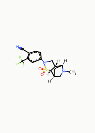 CN1C[C@@H]2CC[C@H]1[C@H]1CN(c3ccc(C#N)c(C(F)(F)F)c3)S(=O)(=O)[C@@H]21